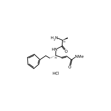 CNC(=O)C=C[C@H](CCc1ccccc1)NC(=O)[C@H](C)N.Cl